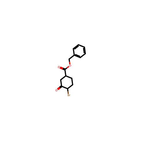 O=C1CC(C(=O)OCc2ccccc2)CCC1Br